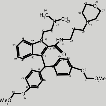 COCOc1ccc(C(c2ccc(OCOC)cc2)c2c(C(=O)NCCCN3CCOCC3)n(CCN(C)C)c3ccccc23)cc1